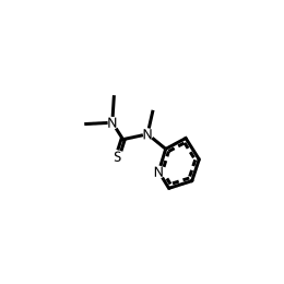 CN(C)C(=S)N(C)c1ccccn1